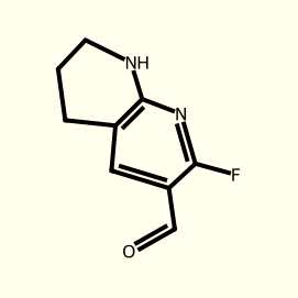 O=Cc1cc2c(nc1F)NCCC2